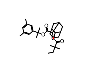 CCC(C)(C)C(=O)OC1C2CC3CC1CC(C2)C3C(=O)OC(C)(C)c1cc(C)cc(C)c1